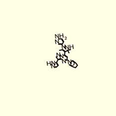 CC1=C(c2cc(N3CC4CCC(C3)O4)nc3c(-c4ccn[nH]4)cnn23)C(C)(C)NN1c1ccc(N)nc1